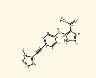 Cn1nnnc1C#Cc1ccc(Oc2[nH]nnc2C(=O)O)cc1